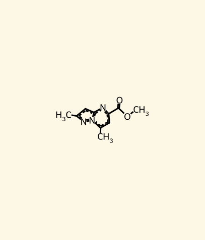 COC(=O)c1cc(C)n2nc(C)cc2n1